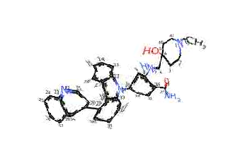 CN1CCC(O)(CNc2cc(-n3c4ccccc4c4c(-c5cnc6ccccc6c5)cccc43)ccc2C(N)=O)CC1